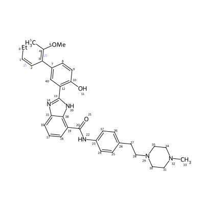 CC/C=C\C(=C(/C)OC)c1ccc(O)c(-c2nc3cccc(C(=O)Nc4ccc(CCN5CCN(C)CC5)cc4)c3[nH]2)c1